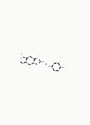 COc1ccc(/N=N/c2sc3cc4cnn(C)c4cc3[n+]2C)cc1OC